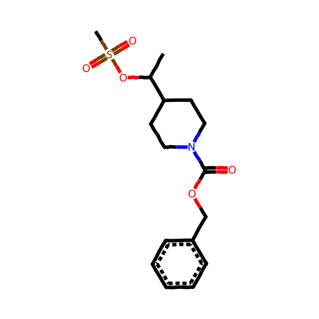 CC(OS(C)(=O)=O)C1CCN(C(=O)OCc2ccccc2)CC1